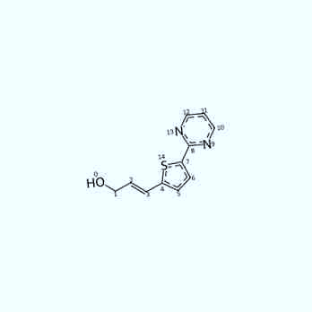 OCC=Cc1ccc(-c2ncccn2)s1